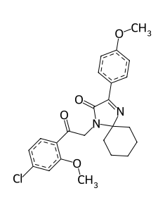 COc1ccc(C2=NC3(CCCCC3)N(CC(=O)c3ccc(Cl)cc3OC)C2=O)cc1